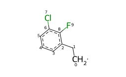 [CH2]Cc1cccc(Cl)c1F